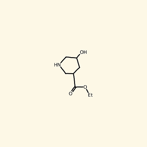 CCOC(=O)C1CNCC(O)C1